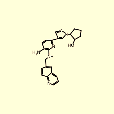 Nc1ccc(-c2cnn(C3CCCC3O)c2)nc1NCc1ccc2ncccc2c1